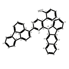 Oc1ccccc1-c1cnc(-c2ccc3c4c(cccc24)-c2ccccc2-3)nc1-n1c2ccccc2c2cc3ccccc3cc21